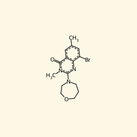 Cc1cc(Br)c2nc(N3CCCOCC3)n(C)c(=O)c2c1